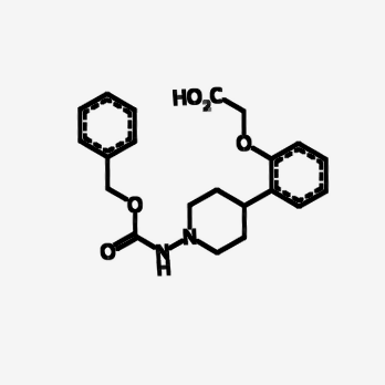 O=C(O)COc1ccccc1C1CCN(NC(=O)OCc2ccccc2)CC1